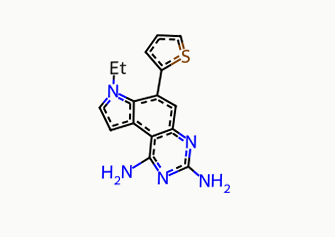 CCn1ccc2c3c(N)nc(N)nc3cc(-c3cccs3)c21